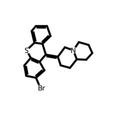 Brc1ccc2c(c1)/C(=C1\CCC3CCCCN3C1)c1ccccc1S2